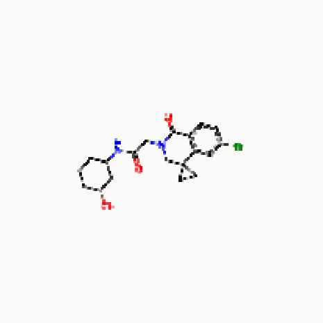 O=C(CN1CC2(CC2)c2cc(Br)ccc2C1=O)NC1CCCC(O)C1